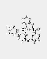 O=C(NCc1ccccc1COC1CN(C(=O)O)CCC1c1ccc(F)cc1)c1ccccn1